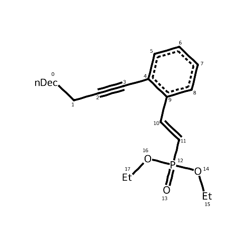 CCCCCCCCCCCC#Cc1ccccc1C=CP(=O)(OCC)OCC